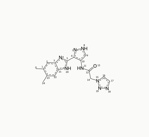 Cc1cc2nc(-c3n[nH]cc3NC(=O)Cn3ccnn3)[nH]c2cc1C